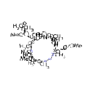 COCCOCCO[C@H]1C[C@@H]2CC[C@@H](C)[C@@](O)(O2)C(=O)C(=O)N2CCCC[C@H]2C(=O)O[C@H]([C@H](C)C[C@@H]2CC[C@@H](OP(C)(C)=O)[C@H](OC)C2)CC(=O)[C@H](C)/C=C(\C)[C@@H](O)[C@@H](OC)C(=O)[C@H](C)C[C@H](C)/C=C/C=C/C=C/1C